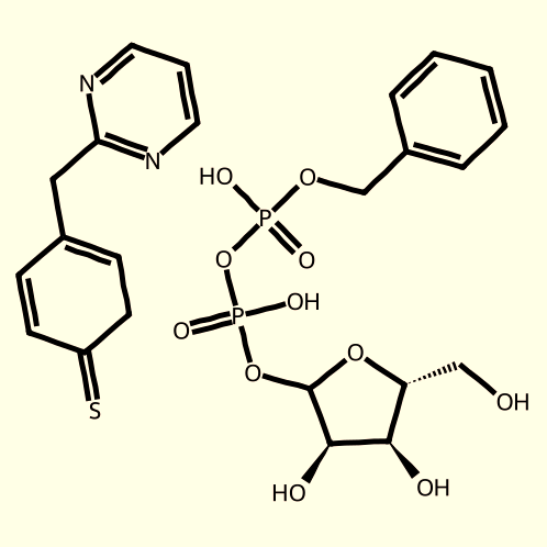 O=P(O)(OCc1ccccc1)OP(=O)(O)OC1O[C@H](CO)[C@@H](O)[C@H]1O.S=C1C=CC(Cc2ncccn2)=CC1